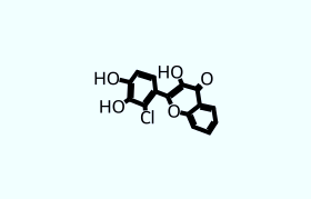 O=c1c(O)c(-c2ccc(O)c(O)c2Cl)oc2ccccc12